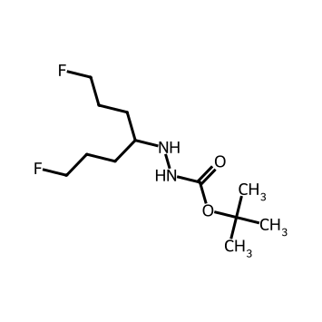 CC(C)(C)OC(=O)NNC(CCCF)CCCF